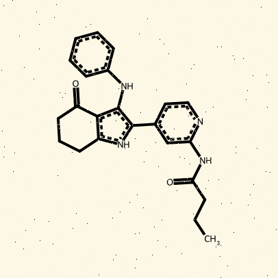 CCCC(=O)Nc1cc(-c2[nH]c3c(c2Nc2ccccc2)C(=O)CCC3)ccn1